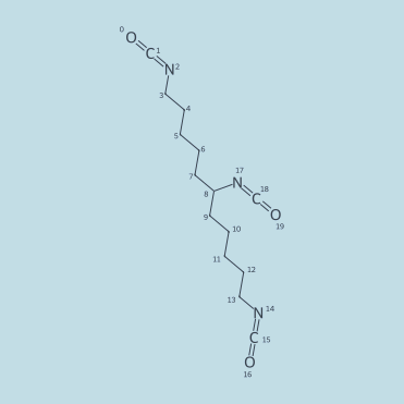 O=C=NCCCCCC(CCCCCN=C=O)N=C=O